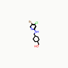 OCC1CCC(CNc2cc(Cl)c(Br)cn2)CC1